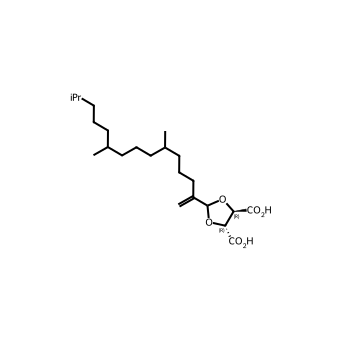 C=C(CCCC(C)CCCC(C)CCCC(C)C)C1O[C@@H](C(=O)O)[C@H](C(=O)O)O1